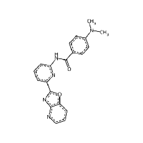 CN(C)c1ccc(C(=O)Nc2cccc(-c3nc4ncccc4o3)n2)cc1